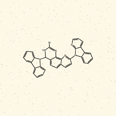 BrC1=Nc2c(ccc3ccc(-n4c5ccccc5c5cccnc54)nc23)C(n2c3ccccc3c3ccccc32)N1